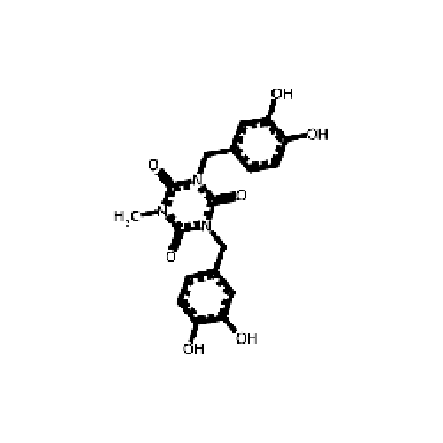 Cn1c(=O)n(Cc2ccc(O)c(O)c2)c(=O)n(Cc2ccc(O)c(O)c2)c1=O